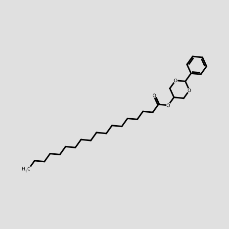 CCCCCCCCCCCCCCCCCC(=O)OC1COC(c2ccccc2)OC1